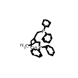 CC1(C)CC(CP(c2ccccc2)c2ccccc2)C1CP(c1ccccc1)c1ccccc1